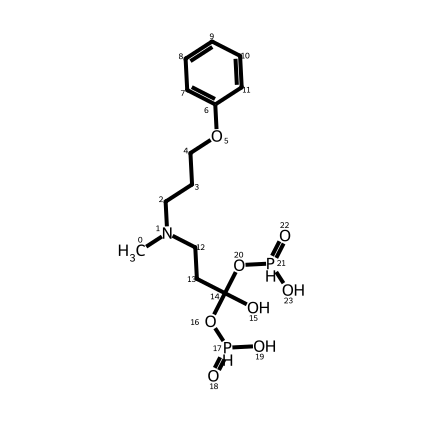 CN(CCCOc1ccccc1)CCC(O)(O[PH](=O)O)O[PH](=O)O